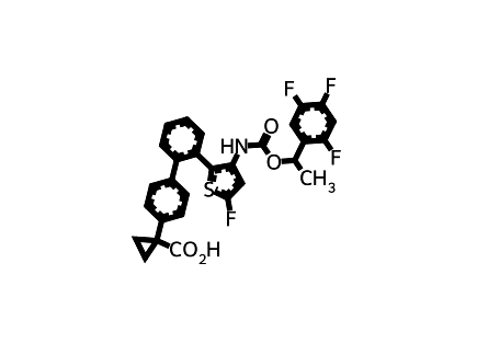 CC(OC(=O)Nc1cc(F)sc1-c1ccccc1-c1ccc(C2(C(=O)O)CC2)cc1)c1cc(F)c(F)cc1F